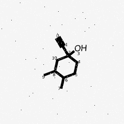 C#CC1(O)CCC(C)C(C)C1